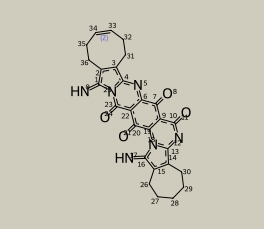 N=c1c2c(c3nc4c(=O)c5c(=O)nc6c7c(c(=N)n6c5c(=O)c4c(=O)n13)CCCCC7)CC/C=C\CC2